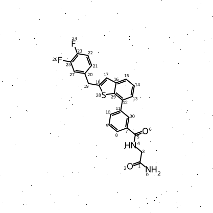 NC(=O)CNC(=O)c1cccc(-c2cccc3cc(Cc4ccc(F)c(F)c4)sc23)c1